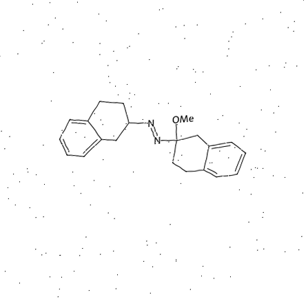 COC1(N=NC2CCc3ccccc3C2)CCc2ccccc2C1